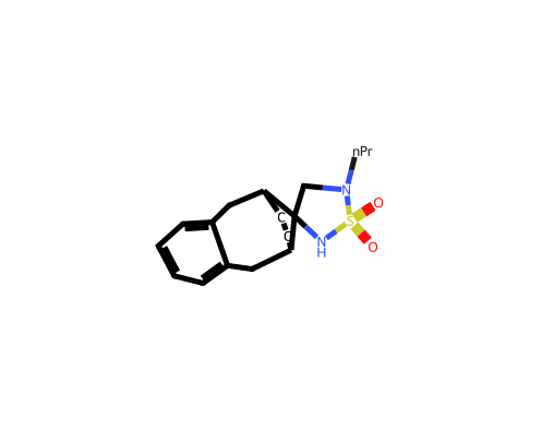 CCCN1CC2(NS1(=O)=O)C1CCC2Cc2ccccc2C1